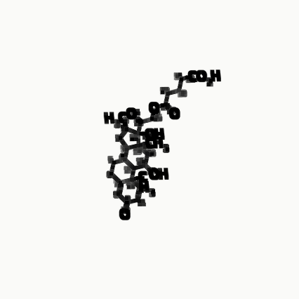 C[C@@H]1CC2C3CCC4=CC(=O)C=CC4(C)C3C(O)CC2(C)[C@@]1(O)C(=O)COC(=O)CCCC(=O)O